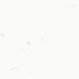 CCCC[S+]([O-])c1cc2nc(-c3ccc(OC)cc3)cc(-c3cccnc3)n2n1